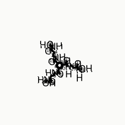 O=C(CCNC(=O)c1cc(C(=O)NCCC(=O)NO)cc(C(=O)NCCC(=O)NO)c1)NO